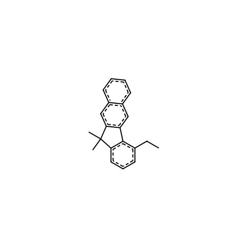 CCc1cccc2c1-c1cc3ccccc3cc1C2(C)C